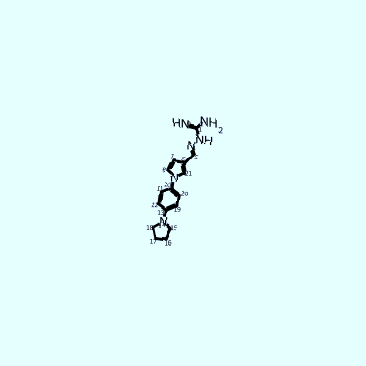 N=C(N)N/N=C/c1ccn(-c2ccc(N3CCCC3)cc2)c1